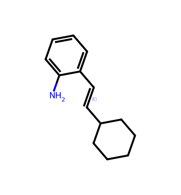 Nc1ccccc1/C=C/C1CCCCC1